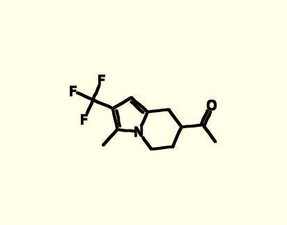 CC(=O)C1CCn2c(cc(C(F)(F)F)c2C)C1